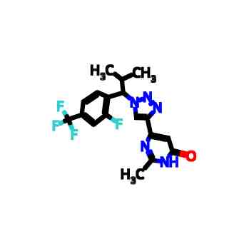 Cc1nc(-c2cn(C(c3ccc(C(F)(F)F)cc3F)C(C)C)nn2)cc(=O)[nH]1